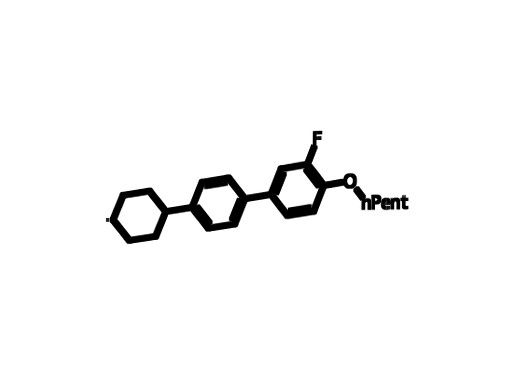 CCCCCOc1ccc(-c2ccc(C3CC[CH]CC3)cc2)cc1F